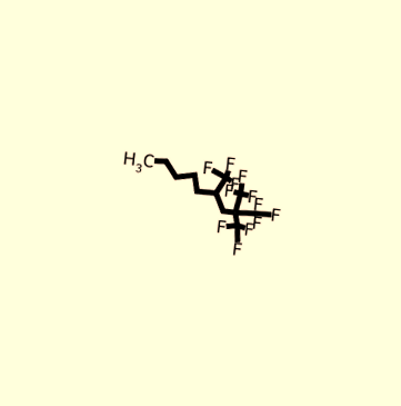 CCCCCC(CC(C(F)(F)F)(C(F)(F)F)C(F)(F)F)C(F)(F)F